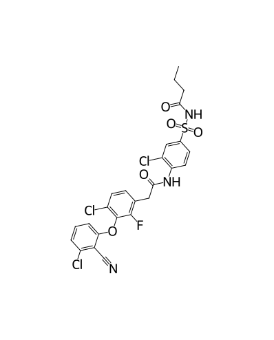 CCCC(=O)NS(=O)(=O)c1ccc(NC(=O)Cc2ccc(Cl)c(Oc3cccc(Cl)c3C#N)c2F)c(Cl)c1